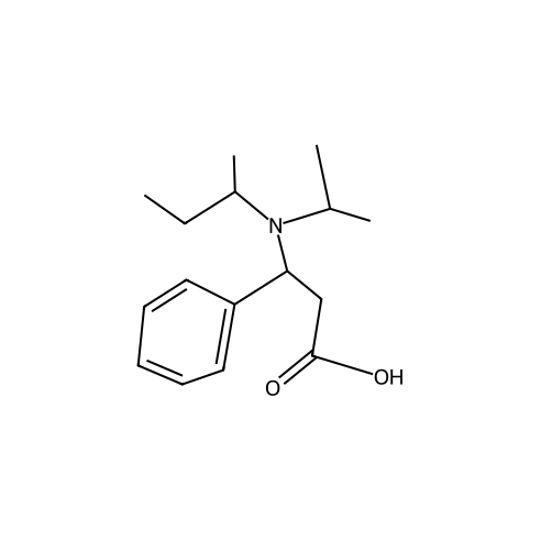 CCC(C)N(C(C)C)C(CC(=O)O)c1ccccc1